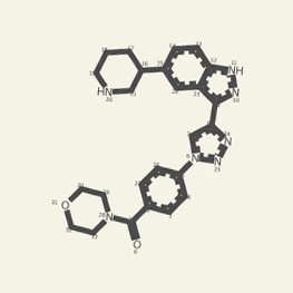 O=C(c1ccc(-n2cc(-c3n[nH]c4ccc(C5CCCNC5)cc34)nn2)cc1)N1CCOCC1